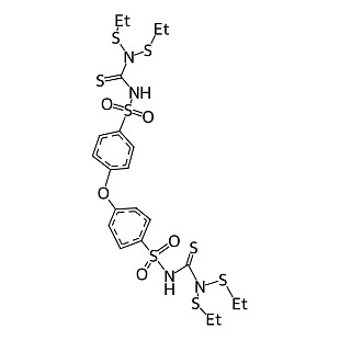 CCSN(SCC)C(=S)NS(=O)(=O)c1ccc(Oc2ccc(S(=O)(=O)NC(=S)N(SCC)SCC)cc2)cc1